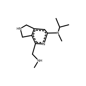 CNCc1nc(N(C)C(C)C)cc2c1CNC2